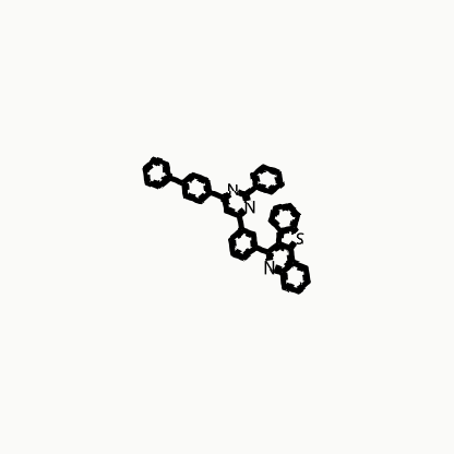 c1ccc(-c2ccc(-c3cc(-c4cccc(-c5nc6ccccc6c6sc7ccccc7c56)c4)nc(-c4ccccc4)n3)cc2)cc1